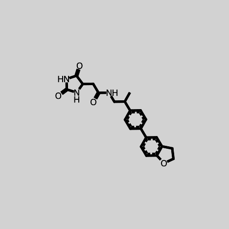 CC(CNC(=O)CC1NC(=O)NC1=O)c1ccc(-c2ccc3c(c2)CCO3)cc1